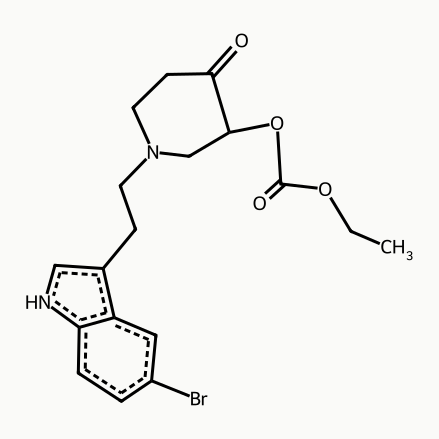 CCOC(=O)OC1CN(CCc2c[nH]c3ccc(Br)cc23)CCC1=O